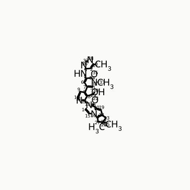 Cc1cc(Nc2cc(-c3ccnc(-n4ccn5c6c(cc5c4=O)CC(C)(C)C6)c3CO)cn(C)c2=O)ncn1